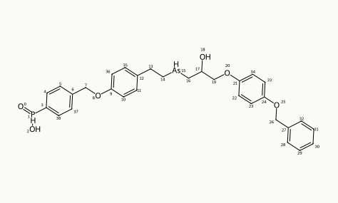 O=[PH](O)c1ccc(COc2ccc(CC[AsH]CC(O)COc3ccc(OCc4ccccc4)cc3)cc2)cc1